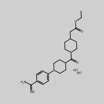 CCOC(=O)CC1CCN(C(=O)C2CCN(c3ccc(C(=N)N)cc3)CC2)CC1.Cl.Cl